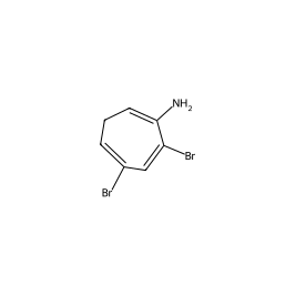 NC1=CCC=C(Br)C=C1Br